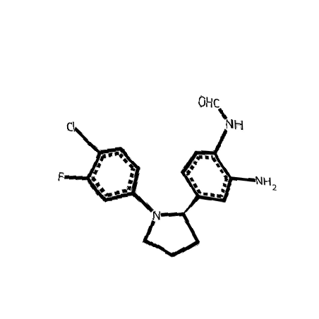 Nc1cc([C@H]2CCCN2c2ccc(Cl)c(F)c2)ccc1NC=O